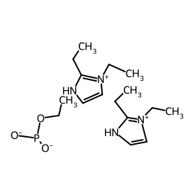 CCOP([O-])[O-].CCc1[nH]cc[n+]1CC.CCc1[nH]cc[n+]1CC